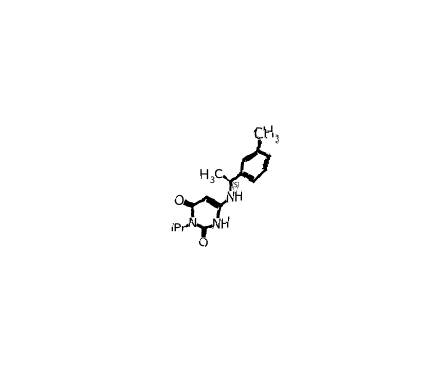 Cc1cccc([C@H](C)Nc2cc(=O)n(C(C)C)c(=O)[nH]2)c1